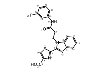 O=C(CCn1c(-c2nc(C(=O)O)cs2)nc2ccccc21)Nc1cccc(F)c1